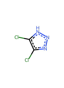 Clc1nn[nH]c1Cl